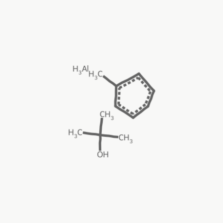 CC(C)(C)O.Cc1ccccc1.[AlH3]